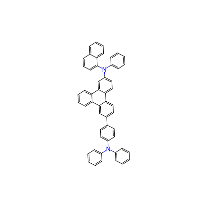 c1ccc(N(c2ccccc2)c2ccc(-c3ccc4c5ccc(N(c6ccccc6)c6cccc7ccccc67)cc5c5ccccc5c4c3)cc2)cc1